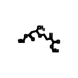 CC(CC(=O)OC(C)(C)C)OCCNC(=O)OC(C)(C)C